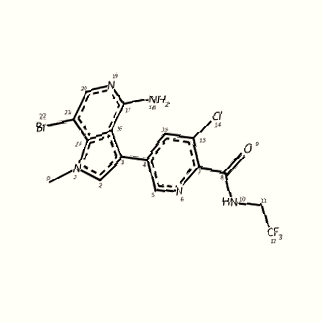 Cn1cc(-c2cnc(C(=O)NCC(F)(F)F)c(Cl)c2)c2c(N)ncc(Br)c21